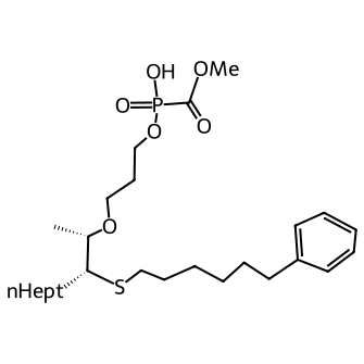 CCCCCCC[C@@H](SCCCCCCc1ccccc1)[C@H](C)OCCCOP(=O)(O)C(=O)OC